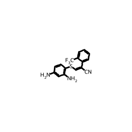 N#CC(=CSc1ccc(N)cc1N)c1ccccc1C(F)(F)F